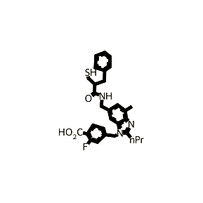 CCCc1nc2c(C)cc(CNC(=O)C(CS)Cc3ccccc3)cc2n1Cc1ccc(C(=O)O)c(F)c1